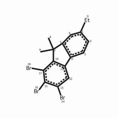 CCc1ccc2c(c1)C(C)(C)c1c-2cc(Br)c(Br)c1Br